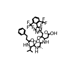 CC(C)[C@H](NC(=O)CCc1ccccc1)C(=O)N[C@@H](C)C(=O)NC(CC(=O)O)C(=O)Cn1nnc(-c2c(C(F)(F)F)cccc2C(F)(F)F)n1